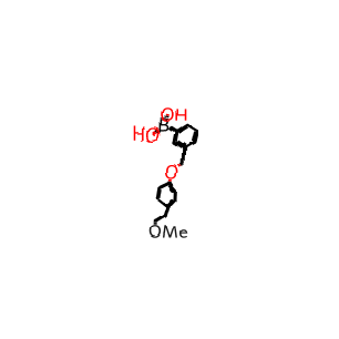 COCCc1ccc(OCc2cccc(B(O)O)c2)cc1